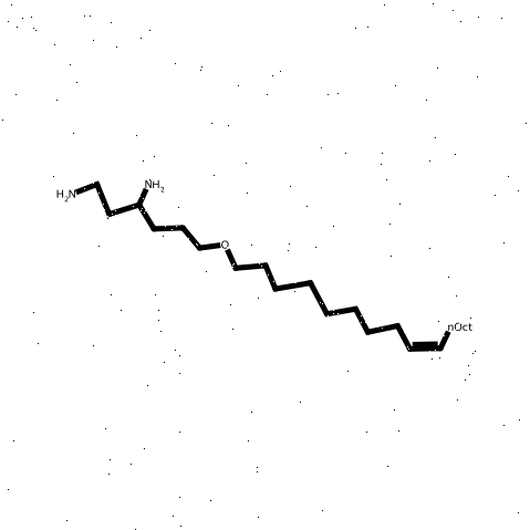 CCCCCCCC/C=C\CCCCCCCCOCCCC(N)CCN